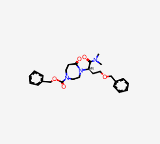 CN(C)C(=O)[C@@H](CCOCc1ccccc1)N1CCN(C(=O)OCc2ccccc2)CCC1=O